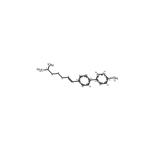 CC(O)CCCC=Cc1ccc(-c2ccc(O)nn2)cc1